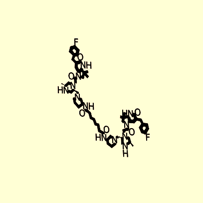 C[C@@H]1CN(CC(=O)N2CC(C)(C)c3[nH]c(=O)c(Cc4ccc(F)cc4)cc32)[C@@H](CN2CCCC(NC(=O)CCCCCCC(=O)NC3CCCN(C[C@H]4CN[C@H](C)CN4CC(=O)N4CC(C)(C)c5[nH]c(=O)c(Cc6ccc(F)cc6)cc54)C3)C2)CN1